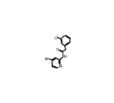 O=C(Cc1cccc(Cl)c1)Nc1cc(Br)ccn1